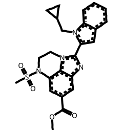 COC(=O)c1cc2c3c(c1)nc(-c1cc4ccccc4n1CC1CC1)n3CCN2S(C)(=O)=O